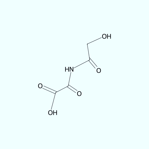 O=C(CO)NC(=O)C(=O)O